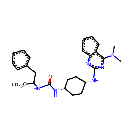 CCOC(=O)C(Cc1ccccc1)NC(=O)N[C@H]1CC[C@@H](Nc2nc(N(C)C)c3ccccc3n2)CC1